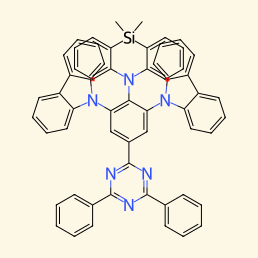 C[Si]1(C)c2ccccc2N(c2c(-n3c4ccccc4c4ccccc43)cc(-c3nc(-c4ccccc4)nc(-c4ccccc4)n3)cc2-n2c3ccccc3c3ccccc32)c2ccccc21